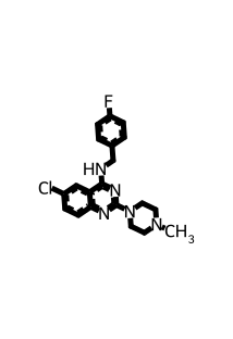 CN1CCN(c2nc(NCc3ccc(F)cc3)c3cc(Cl)ccc3n2)CC1